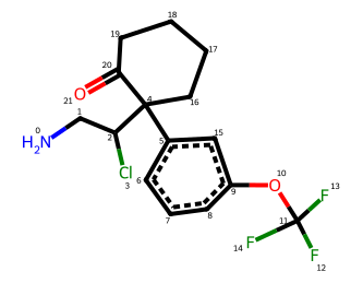 NCC(Cl)C1(c2cccc(OC(F)(F)F)c2)CCCCC1=O